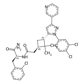 CC1(C)[C@@H](CC(=O)N[C@@H](Cc2ccccc2Cl)C(N)=O)C[C@@H]1c1cc(-c2cccnc2)nn1-c1ccc(Cl)c(Cl)c1